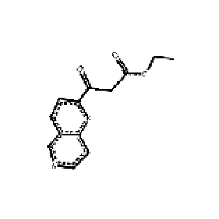 CCOC(=O)CC(=O)c1ccc2cnccc2n1